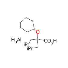 CC(C)CC(CC(C)C)(OC1CCCCC1)C(=O)O.[AlH3]